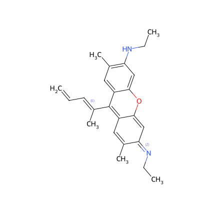 C=C/C=C(\C)c1c2cc(C)/c(=N\CC)cc-2oc2cc(NCC)c(C)cc12